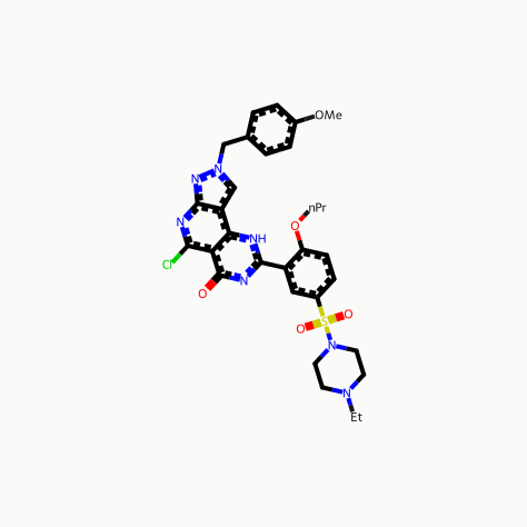 CCCOc1ccc(S(=O)(=O)N2CCN(CC)CC2)cc1-c1nc(=O)c2c(Cl)nc3nn(Cc4ccc(OC)cc4)cc3c2[nH]1